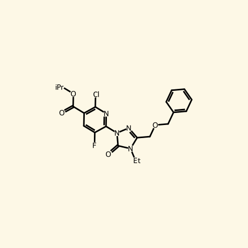 CCn1c(COCc2ccccc2)nn(-c2nc(Cl)c(C(=O)OC(C)C)cc2F)c1=O